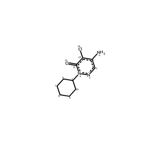 Nc1cnn(C2CCCCC2)c(=O)c1Cl